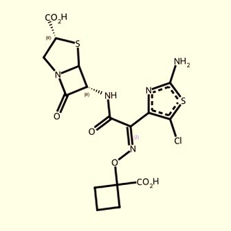 Nc1nc(/C(=N/OC2(C(=O)O)CCC2)C(=O)N[C@@H]2C(=O)N3C[C@H](C(=O)O)SC23)c(Cl)s1